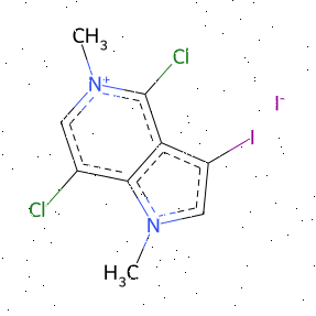 Cn1cc(I)c2c(Cl)[n+](C)cc(Cl)c21.[I-]